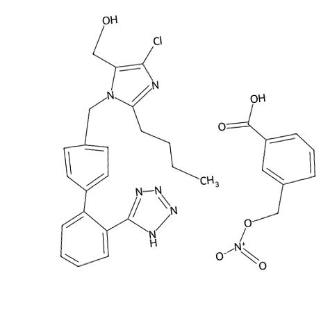 CCCCc1nc(Cl)c(CO)n1Cc1ccc(-c2ccccc2-c2nnn[nH]2)cc1.O=C(O)c1cccc(CO[N+](=O)[O-])c1